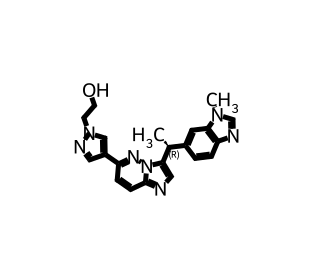 C[C@H](c1ccc2ncn(C)c2c1)c1cnc2ccc(-c3cnn(CCO)c3)nn12